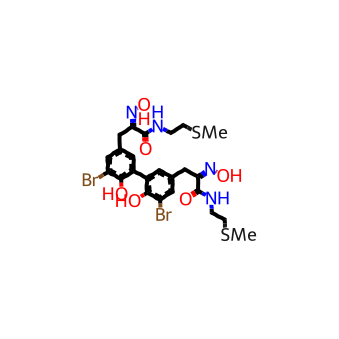 CSCCNC(=O)/C(Cc1cc(Br)c(O)c(-c2cc(C/C(=N/O)C(=O)NCCSC)cc(Br)c2O)c1)=N\O